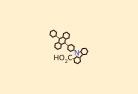 O=C(O)c1cccc2c3ccccc3n(-c3ccc(-c4c5ccccc5c(-c5ccccc5)c5ccccc45)cc3)c12